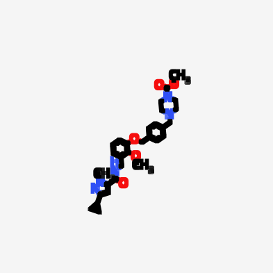 COC(=O)N1CCN(Cc2ccc(COc3cccc(CNC(=O)c4cc(C5CC5)nn4C)c3OC)cc2)CC1